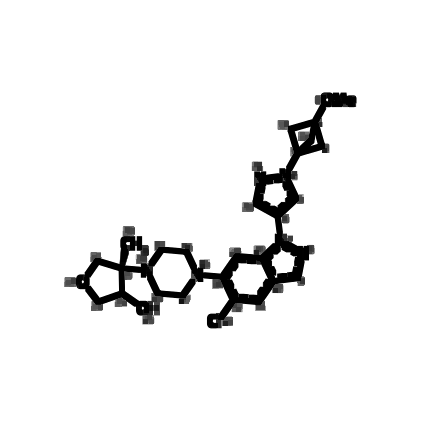 COC12CC(n3cc(-n4ncc5cc(Cl)c(N6CCN([C@@]7(C)COCC7O)CC6)cc54)cn3)(C1)C2